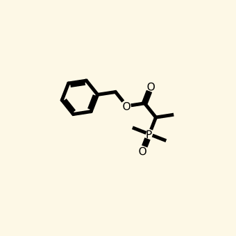 CC(C(=O)OCc1ccccc1)P(C)(C)=O